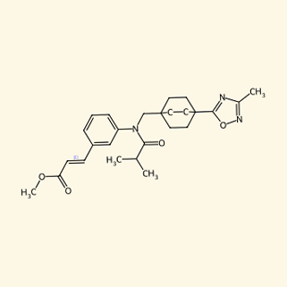 COC(=O)/C=C/c1cccc(N(CC23CCC(c4nc(C)no4)(CC2)CC3)C(=O)C(C)C)c1